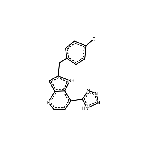 Clc1ccc(Cc2cc3nccc(-c4nnn[nH]4)c3[nH]2)cc1